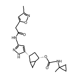 Cc1cc(CC(=O)Nc2cc([C@@H]3C[C@H](OC(=O)NC4(C)CC4)C4CC43)[nH]n2)on1